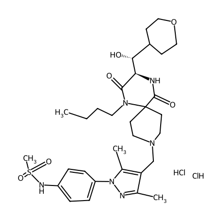 CCCCN1C(=O)[C@@H]([C@H](O)C2CCOCC2)NC(=O)C12CCN(Cc1c(C)nn(-c3ccc(NS(C)(=O)=O)cc3)c1C)CC2.Cl.Cl